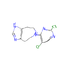 Clc1ncc(Cl)c(N2CCc3nc[nH]c3CC2)n1